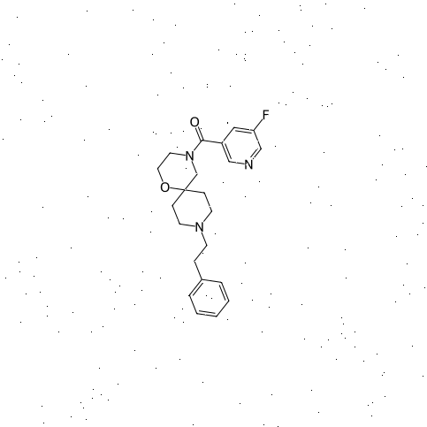 O=C(c1cncc(F)c1)N1CCOC2(CCN(CCc3ccccc3)CC2)C1